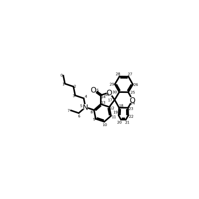 CCCCCN(CC)c1cccc2c1C(=O)OC21c2ccccc2Oc2ccccc21